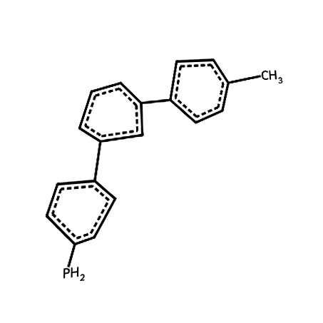 Cc1ccc(-c2cccc(-c3ccc(P)cc3)c2)cc1